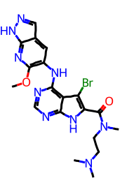 COc1nc2[nH]ncc2cc1Nc1ncnc2[nH]c(C(=O)N(C)CCN(C)C)c(Br)c12